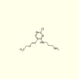 CCOC=Cc1cnc(Cl)nc1NCCCN